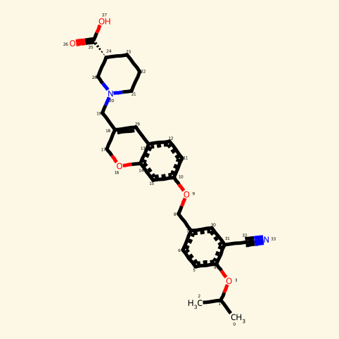 CC(C)Oc1ccc(COc2ccc3c(c2)OCC(CN2CCC[C@@H](C(=O)O)C2)=C3)cc1C#N